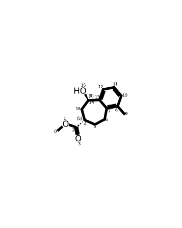 COC(=O)[C@H]1CCc2c(C)cccc2[C@H](O)C1